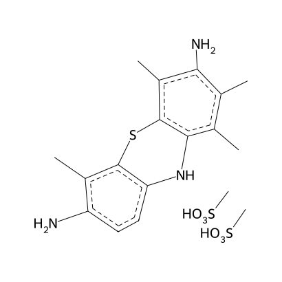 CS(=O)(=O)O.CS(=O)(=O)O.Cc1c(C)c2c(c(C)c1N)Sc1c(ccc(N)c1C)N2